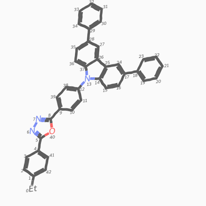 CCc1ccc(-c2nnc(-c3ccc(-n4c5ccc(-c6ccccc6)cc5c5cc(-c6ccccc6)ccc54)cc3)o2)cc1